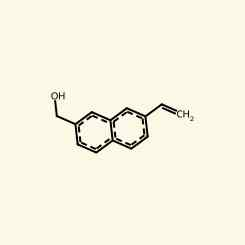 C=Cc1ccc2ccc(CO)cc2c1